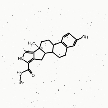 CC(C)NC(=O)c1[nH]nc2c1CC1C3CCc4cc(O)ccc4C3CC[C@]21C